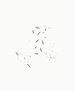 C=C1CN2CC(=C)CC2(COc2nc(N3C[C@@H]4CC[C@](C5CC5)(C3)N4)c3cc(C(F)(F)F)c(-c4ccc(F)c5sc(N)nc45)c(F)c3n2)C1